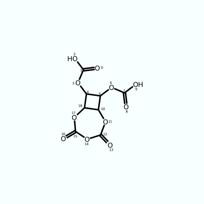 O=C(O)OC1C(OC(=O)O)C2OC(=O)OC(=O)OC12